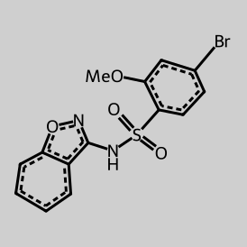 COc1cc(Br)ccc1S(=O)(=O)Nc1noc2ccccc12